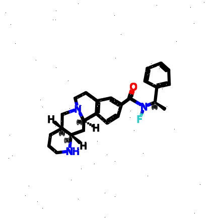 C[C@H](c1ccccc1)N(F)C(=O)c1ccc2c(c1)CCN1C[C@H]3CCCN[C@H]3C[C@H]21